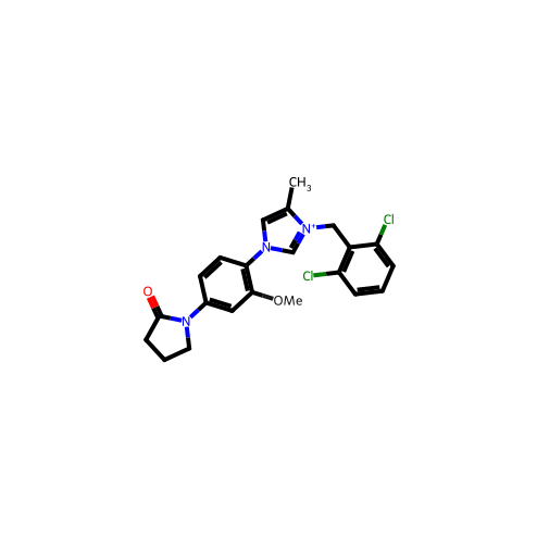 COc1cc(N2CCCC2=O)ccc1-n1cc(C)[n+](Cc2c(Cl)cccc2Cl)c1